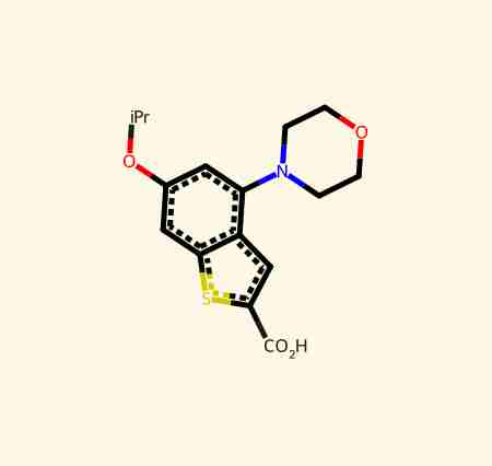 CC(C)Oc1cc(N2CCOCC2)c2cc(C(=O)O)sc2c1